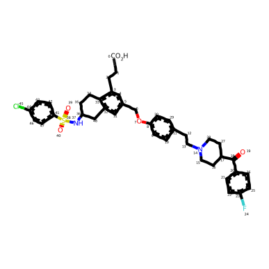 O=C(O)CCc1cc(COc2ccc(CCN3CCC(C(=O)c4ccc(F)cc4)CC3)cc2)cc2c1CCC(NS(=O)(=O)c1ccc(Cl)cc1)C2